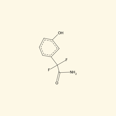 NC(=O)C(F)(F)c1cccc(O)c1